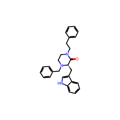 O=C1[C@@H](Cc2c[nH]c3ccccc23)N(Cc2ccccc2)CCN1CCc1ccccc1